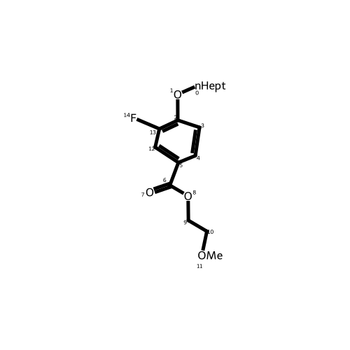 CCCCCCCOc1ccc(C(=O)OCCOC)cc1F